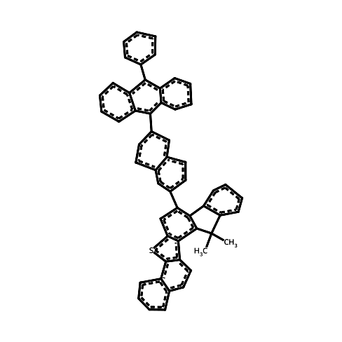 CC1(C)c2ccccc2-c2c(-c3ccc4cc(-c5c6ccccc6c(-c6ccccc6)c6ccccc56)ccc4c3)cc3sc4c5ccccc5ccc4c3c21